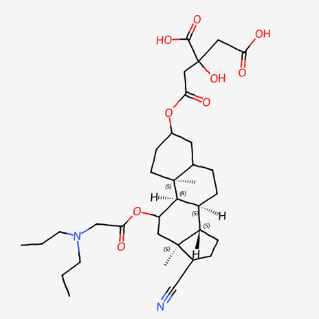 CCCN(CCC)CC(=O)OC1C[C@]2(C)C(C#N)CC[C@H]2[C@@H]2CCC3CC(OC(=O)CC(O)(CC(=O)O)C(=O)O)CC[C@]3(C)[C@H]12